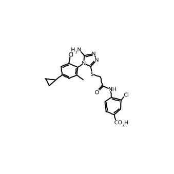 Cc1cc(C2CC2)cc(Cl)c1-n1c(N)nnc1SCC(=O)Nc1ccc(C(=O)O)cc1Cl